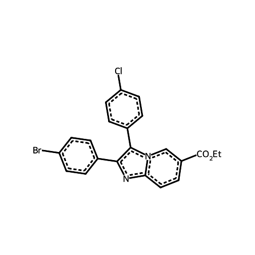 CCOC(=O)c1ccc2nc(-c3ccc(Br)cc3)c(-c3ccc(Cl)cc3)n2c1